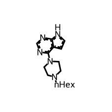 CCCCCCN1CCN(c2ncnc3[nH]ccc23)CC1